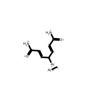 CC(=O)C(C=CC(N)=O)C=CC(N)=O.CC(C)=O